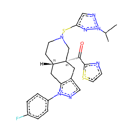 CC(C)n1ncc(SN2CC[C@H]3Cc4c(cnn4-c4ccc(F)cc4)C[C@]3(C(=O)c3nccs3)C2)n1